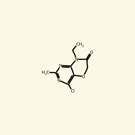 CCN1C(=O)COc2c(Cl)nc(C)nc21